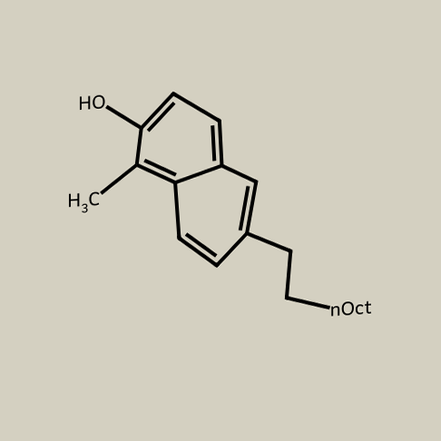 CCCCCCCCCCc1ccc2c(C)c(O)ccc2c1